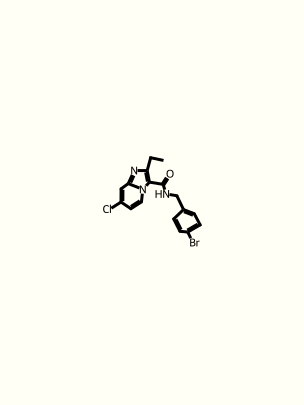 CCc1nc2cc(Cl)ccn2c1C(=O)NCc1ccc(Br)cc1